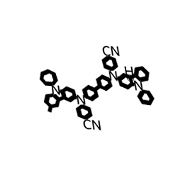 CC1C=Cc2c(c3cc(N(c4ccc(C#N)cc4)c4ccc(-c5ccc(N(C6=C[C@@H]7c8ccccc8N(c8ccccc8)C7C=C6)c6ccc(C#N)cc6)cc5)cc4)ccc3n2C2=CCC=CC=C2)C1